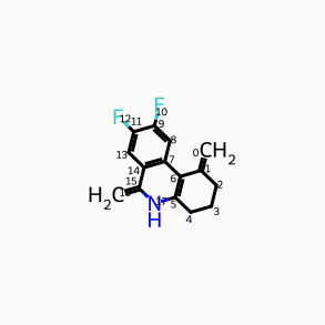 C=C1CCCC2=C1c1cc(F)c(F)cc1C(=C)N2